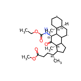 CCOC(=O)N[C@@H]1C(=O)[C@@]2(C)C(CCC2[C@H](C)CCC(=O)OC)C2[CH]C[C@@H]3C[CH]CC[C@]3(C)C21